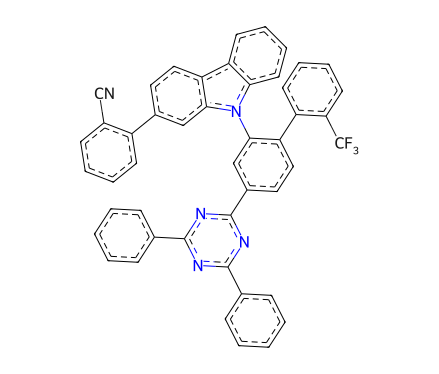 N#Cc1ccccc1-c1ccc2c3ccccc3n(-c3cc(-c4nc(-c5ccccc5)nc(-c5ccccc5)n4)ccc3-c3ccccc3C(F)(F)F)c2c1